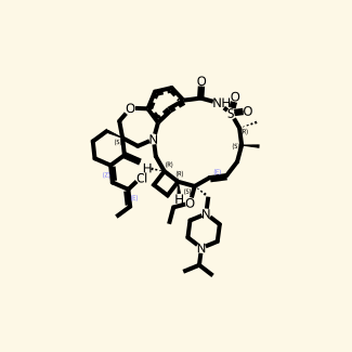 C=C1/C(=C\C(Cl)=C/C)CCC[C@]12COc1ccc3cc1N(C[C@@H]1CC[C@H]1[C@](CN1CCN(C(C)C)CC1)(OCC)/C=C/C[C@H](C)[C@@H](C)S(=O)(=O)NC3=O)C2